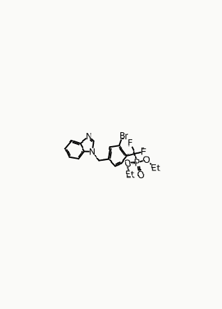 CCOP(=O)(OCC)C(F)(F)c1ccc(Cn2cnc3ccccc32)cc1Br